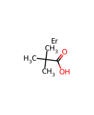 CC(C)(C)C(=O)O.[Er]